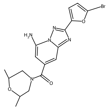 CC1CN(C(=O)c2cc(N)n3nc(-c4ccc(Br)o4)nc3c2)CC(C)O1